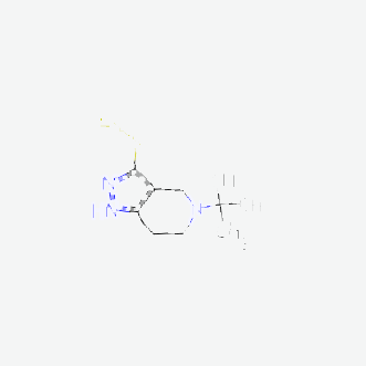 CC(C)(C)N1CCc2[nH]nc(SS)c2C1